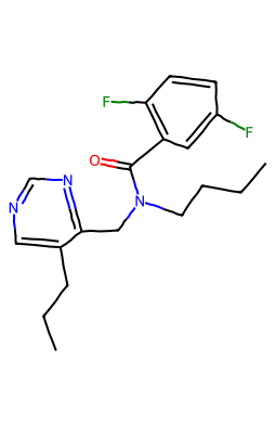 CCCCN(Cc1ncncc1CCC)C(=O)c1cc(F)ccc1F